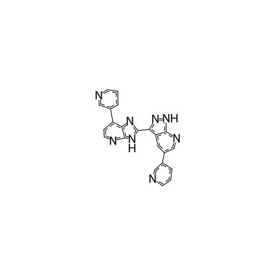 c1cncc(-c2cnc3[nH]nc(-c4nc5c(-c6cccnc6)ccnc5[nH]4)c3c2)c1